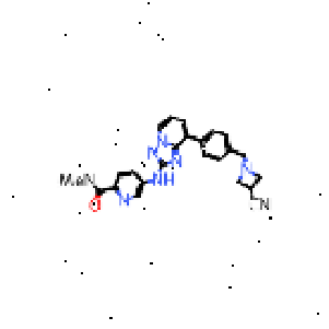 CNC(=O)c1ccc(Nc2nc3c(-c4ccc(CN5CC(C#N)C5)cc4)cccn3n2)cn1